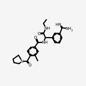 CCNC(=O)C(NC(=O)c1ccc(C(=O)N2CCCC2)c(C)c1)c1cccc(C(=N)N)c1